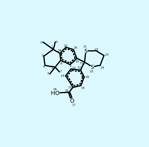 CC1(C)CCC(C)(C)c2cc(C3(c4ccc(C(=O)O)cc4)SCCCS3)ccc21